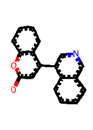 O=c1cc(-c2cncc3ccccc23)c2ccccc2o1